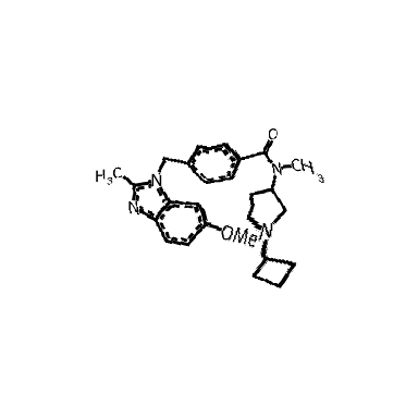 COc1ccc2nc(C)n(Cc3ccc(C(=O)N(C)C4CCN(C5CCC5)C4)cc3)c2c1